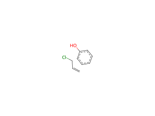 C=CCCl.Oc1ccccc1